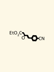 CCOC(=O)CC(=O)C=Cc1ccc(C#N)cc1